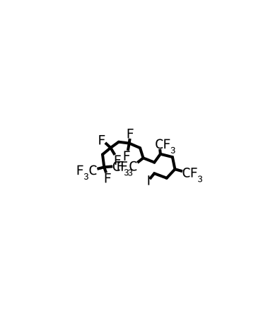 FC(F)(CC(CC(CC(CCI)C(F)(F)F)C(F)(F)F)C(F)(F)F)CC(F)(F)CC(F)(C(F)(F)F)C(F)(F)F